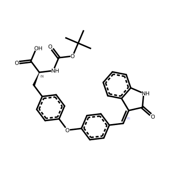 CC(C)(C)OC(=O)N[C@@H](Cc1ccc(Oc2ccc(/C=C3/C(=O)Nc4ccccc43)cc2)cc1)C(=O)O